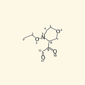 CCON1CCOCC1C(=O)C=O